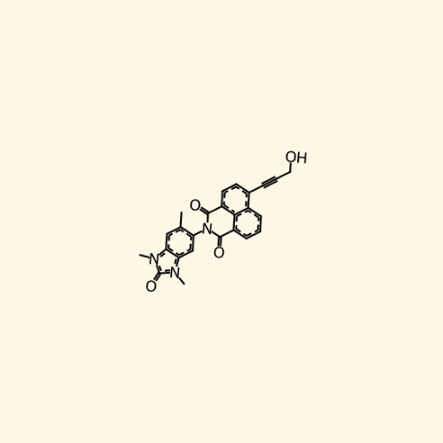 Cc1cc2c(cc1N1C(=O)c3cccc4c(C#CCO)ccc(c34)C1=O)n(C)c(=O)n2C